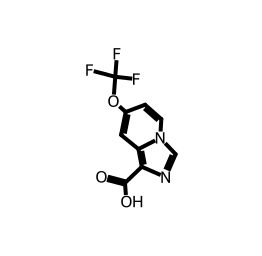 O=C(O)c1ncn2ccc(OC(F)(F)F)cc12